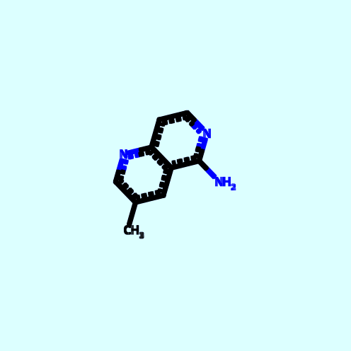 Cc1cnc2ccnc(N)c2c1